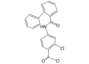 O=C(Cl)c1ccc(NC(=O)c2ccccc2-c2ccccc2)cc1Cl